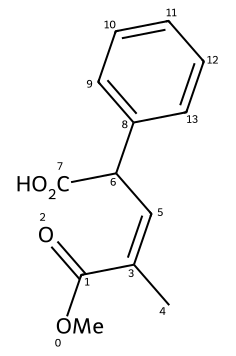 COC(=O)C(C)=CC(C(=O)O)c1ccccc1